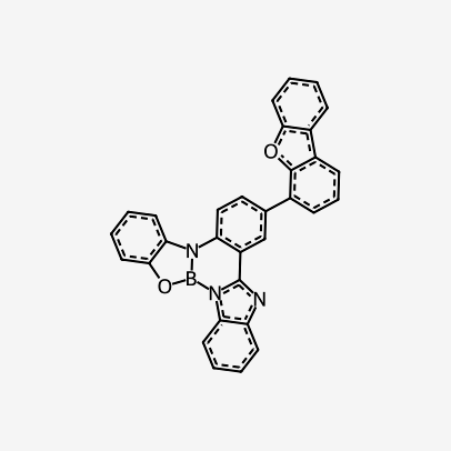 c1ccc2c(c1)OB1N2c2ccc(-c3cccc4c3oc3ccccc34)cc2-c2nc3ccccc3n21